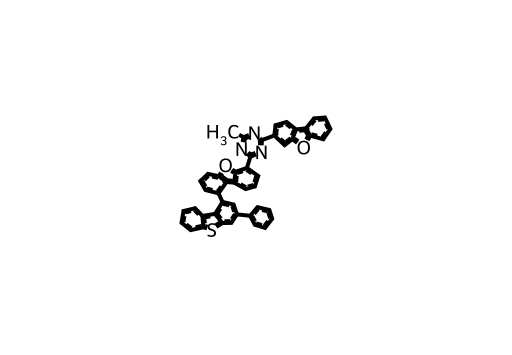 Cc1nc(-c2ccc3c(c2)oc2ccccc23)nc(-c2cccc3c2oc2cccc(-c4cc(-c5ccccc5)cc5sc6ccccc6c45)c23)n1